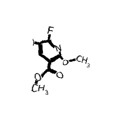 COC(=O)c1cc(I)c(F)nc1OC